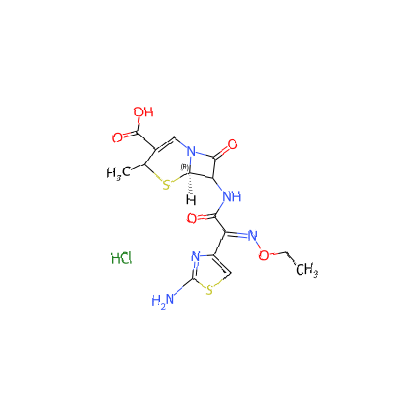 CCON=C(C(=O)NC1C(=O)N2C=C(C(=O)O)C(C)S[C@H]12)c1csc(N)n1.Cl